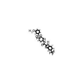 Cc1cccc(S(=O)(=O)[C@]2(F)CC[C@H](NC(=O)c3nc4cc(C(F)(F)F)ccc4[nH]3)CC2)c1